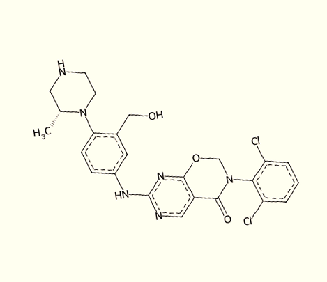 C[C@@H]1CNCCN1c1ccc(Nc2ncc3c(n2)OCN(c2c(Cl)cccc2Cl)C3=O)cc1CO